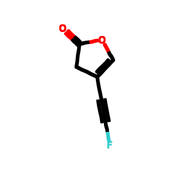 O=C1CC(C#CF)=CO1